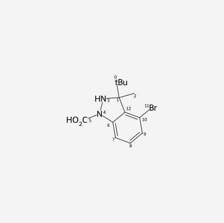 CC(C)(C)C1(C)NN(C(=O)O)c2cccc(Br)c21